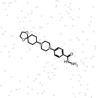 NNC(=O)c1ccc(N2CCN(C3CCC4(CC3)OCCO4)CC2)cc1